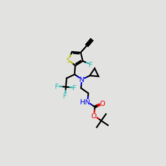 C#Cc1csc(C(CC(F)(F)F)N(CCNC(=O)OC(C)(C)C)C2CC2)c1F